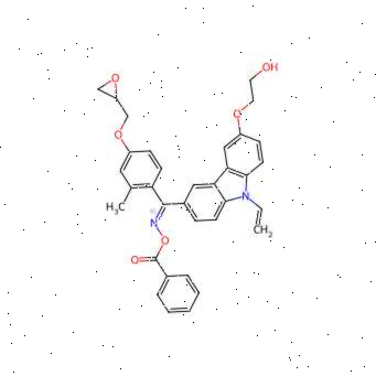 C=Cn1c2ccc(OCCO)cc2c2cc(/C(=N\OC(=O)c3ccccc3)c3ccc(OCC4CO4)cc3C)ccc21